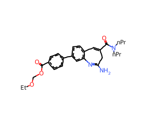 CCCN(CCC)C(=O)C1=Cc2ccc(-c3ccc(C(=O)OCOCC)cc3)cc2N=C(N)C1